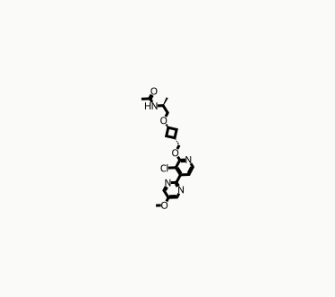 COc1cnc(-c2ccnc(OC[C@H]3C[C@H](OC[C@H](C)NC(C)=O)C3)c2Cl)nc1